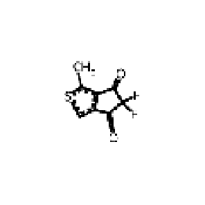 Cc1scc2c1C(=O)C(F)(F)C2=O